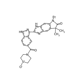 CCN1C(=O)C(C)(C)c2cc3nc(-c4n[nH]c5ccc(C(=O)N6CC[S+]([O-])CC6)cc45)[nH]c3cc21